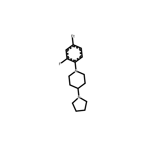 CCc1ccc(N2CCC(N3CCCC3)CC2)c(F)c1